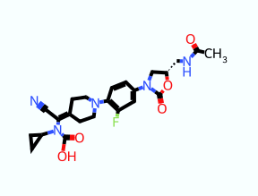 CC(=O)NC[C@H]1CN(c2ccc(N3CCC(=C(C#N)N(C(=O)O)C4CC4)CC3)c(F)c2)C(=O)O1